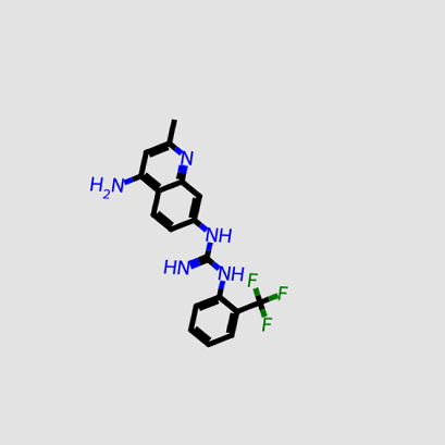 Cc1cc(N)c2ccc(NC(=N)Nc3ccccc3C(F)(F)F)cc2n1